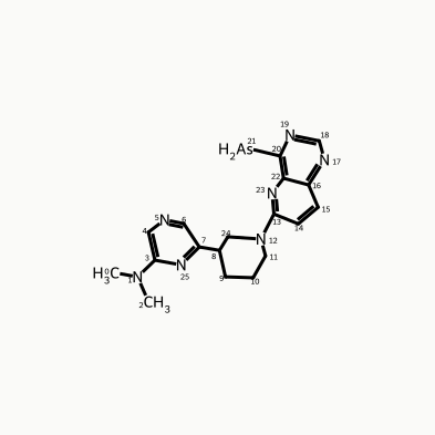 CN(C)c1cncc(C2CCCN(c3ccc4ncnc([AsH2])c4n3)C2)n1